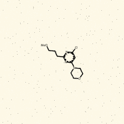 COCCCc1nc(Cl)cc(N2CCOCC2)n1